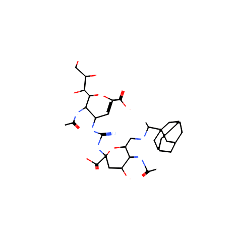 CC(=O)NC1C(O)CC(NC(=N)NC2C=C(C(=O)O)OC(C(O)C(O)CO)C2NC(C)=O)(C(=O)O)OC1CNC(C)C12CC3CC(CC(C3)C1)C2